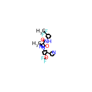 CC1=NN(c2ccc(OC(F)F)c(-c3cccnc3)c2)C(=O)C1C(=O)Nc1cccc(C(C)(F)F)c1